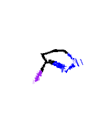 IC1=NNCC1